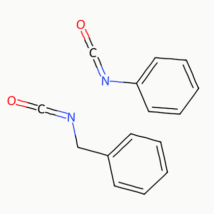 O=C=NCc1ccccc1.O=C=Nc1ccccc1